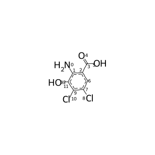 Nc1c(C(=O)O)cc(Cl)c(Cl)c1O